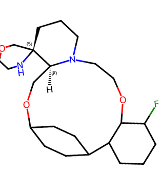 FC1CCCC2C3CCC(CC3)OC[C@@H]3N(CCC[C@@]34COCCN4)CCOC12